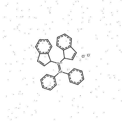 C1=C[CH]([Zr+2]([CH]2C=Cc3ccccc32)=[Ge]([c]2ccccc2)[c]2ccccc2)c2ccccc21.[Cl-].[Cl-]